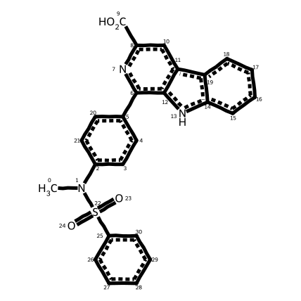 CN(c1ccc(-c2nc(C(=O)O)cc3c2[nH]c2ccccc23)cc1)S(=O)(=O)c1ccccc1